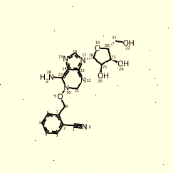 N#Cc1ccccc1CON1CN=c2c(ncn2[C@@H]2O[C@H](CO)[C@@H](O)[C@H]2O)=C1N